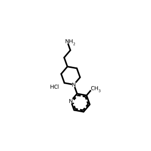 Cc1cccnc1N1CCC(CCN)CC1.Cl